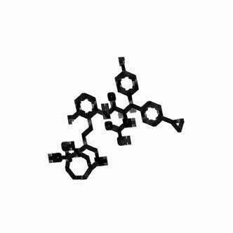 O=C(O)N[C@@H](C(=O)Nc1cccc(F)c1CCC1CNC2CCCS(O)(O)N1C2)[C@@H](c1ccc(F)cc1)c1ccc(C2CC2)cc1